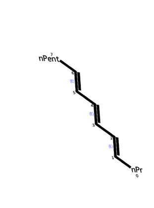 [CH2]CC/C=C/C=C/C=C/CCCCC